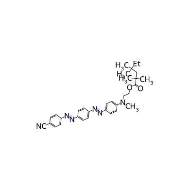 CCC(C)(C)CC(C)(C)C(=O)OCCN(C)c1ccc(/N=N/c2ccc(/N=N/c3ccc(C#N)cc3)cc2)cc1